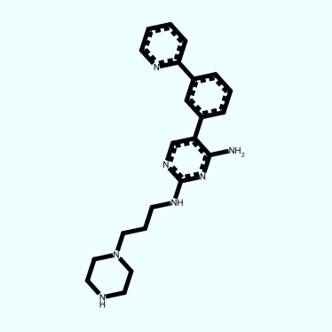 Nc1nc(NCCCN2CCNCC2)ncc1-c1cccc(-c2ccccn2)c1